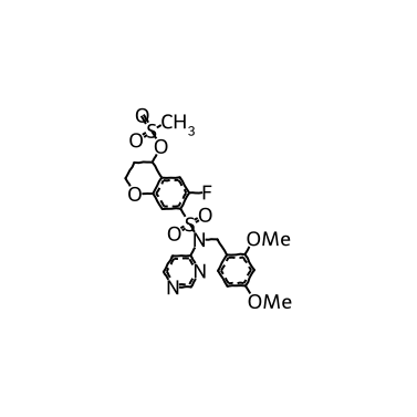 COc1ccc(CN(c2ccncn2)S(=O)(=O)c2cc3c(cc2F)C(OS(C)(=O)=O)CCO3)c(OC)c1